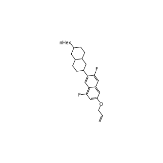 C=CCOc1cc(F)c2cc(C3CCC4CC(CCCCCC)CCC4C3)c(F)cc2c1